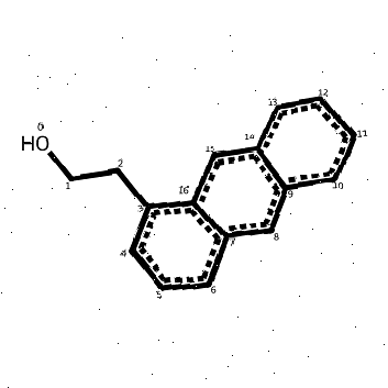 OCCc1cccc2cc3ccccc3cc12